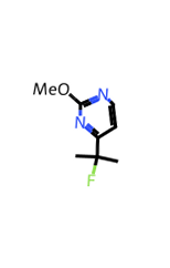 COc1nccc(C(C)(C)F)n1